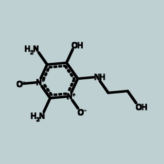 Nc1c(O)c(NCCO)[n+]([O-])c(N)[n+]1[O-]